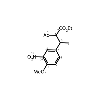 CCOC(=O)C(C(C)=O)C(C)c1ccc(OC)c([N+](=O)[O-])c1